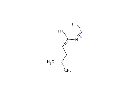 C/C=N\C(C)=C/CC(C)C